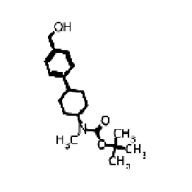 CN(C(=O)OC(C)(C)C)C1CCC(c2ccc(CO)cc2)CC1